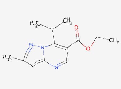 CCOC(=O)c1cnc2cc(C)nn2c1C(C)C